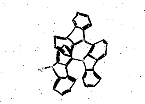 Cn1c2ccccc2c2c(-n3c4ccccc4c4cccc(-n5c6ccccc6c6ccccc65)c43)cccc21